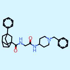 O=C(CNC(=O)C12CC3CC1CC(c1ccccc1)(C3)C2)NC1CCN(Cc2ccccc2)CC1